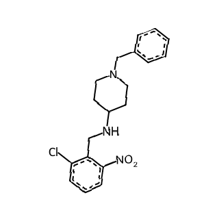 O=[N+]([O-])c1cccc(Cl)c1CNC1CCN(Cc2ccccc2)CC1